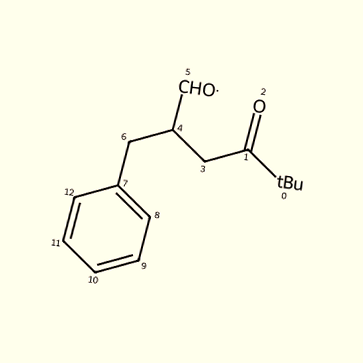 CC(C)(C)C(=O)CC([C]=O)Cc1ccccc1